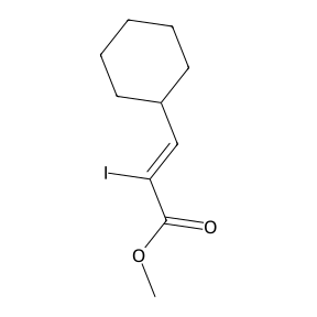 COC(=O)C(I)=CC1CCCCC1